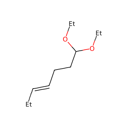 CCC=CCCC(OCC)OCC